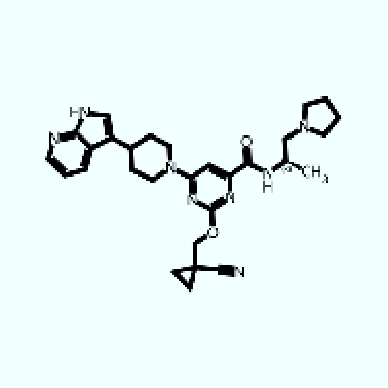 C[C@H](CN1CCCC1)NC(=O)c1cc(N2CCC(c3c[nH]c4ncccc34)CC2)nc(OCC2(C#N)CC2)n1